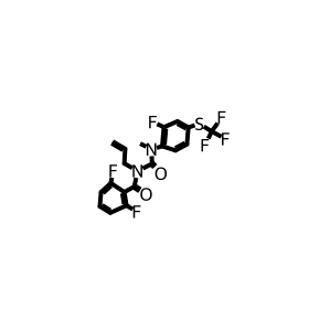 C=CCN(C(=O)c1c(F)cccc1F)C(=O)N(C)c1ccc(SC(F)(F)F)cc1F